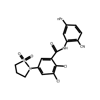 CCCc1ccc(C#N)c(NC(=O)c2cc(N3CCCS3(=O)=O)cc(Cl)c2Cl)c1